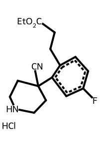 CCOC(=O)CCc1ccc(F)cc1C1(C#N)CCNCC1.Cl